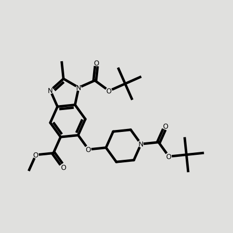 COC(=O)c1cc2nc(C)n(C(=O)OC(C)(C)C)c2cc1OC1CCN(C(=O)OC(C)(C)C)CC1